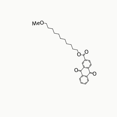 COCCCCCCCCCCCOC(=O)c1ccc2c(c1)C(=O)c1ccccc1C2=O